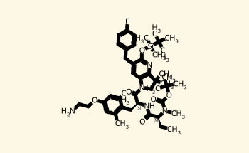 CC[C@@H](C(=O)N[C@@H](Cc1c(C)cc(OCCN)cc1C)C(=O)N1CC(C)(C)c2nc(O[Si](C)(C)C(C)(C)C)c(Cc3ccc(F)cc3)cc21)N(C)C(=O)OC(C)(C)C